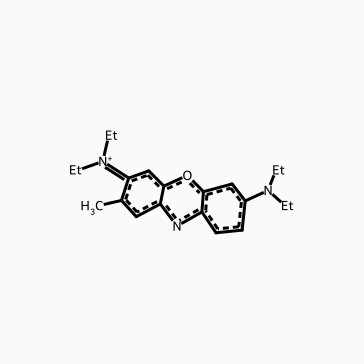 CCN(CC)c1ccc2nc3cc(C)c(=[N+](CC)CC)cc-3oc2c1